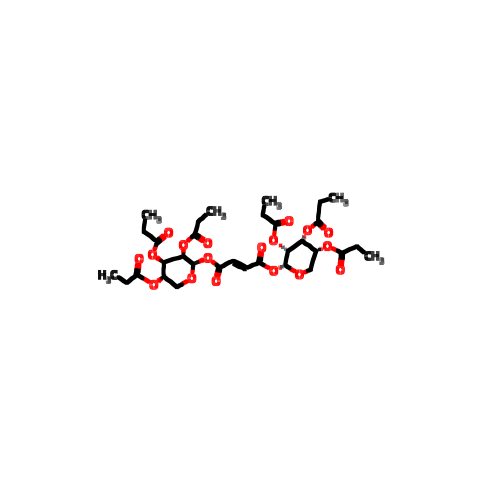 CCC(=O)O[C@H]1[C@@H](OC(=O)/C=C/C(=O)O[C@H]2OC[C@@H](OC(=O)CC)[C@@H](OC(=O)CC)[C@H]2OC(=O)CC)OC[C@@H](OC(=O)CC)[C@H]1OC(=O)CC